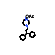 CC(=O)ON1CCCN(CCC(c2ccccc2)c2ccccc2)CC1